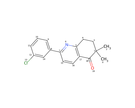 CC1(C)CCc2nc(-c3cccc(Cl)c3)ccc2C1=O